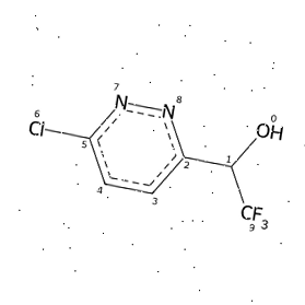 OC(c1ccc(Cl)nn1)C(F)(F)F